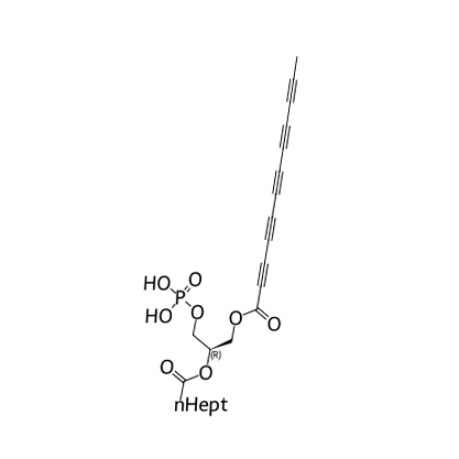 CC#CC#CC#CC#CC#CC(=O)OC[C@H](COP(=O)(O)O)OC(=O)CCCCCCC